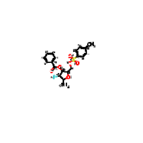 BC1OC(COS(=O)(=O)c2ccc(C)cc2)C(OC(=O)c2ccccc2)C1F